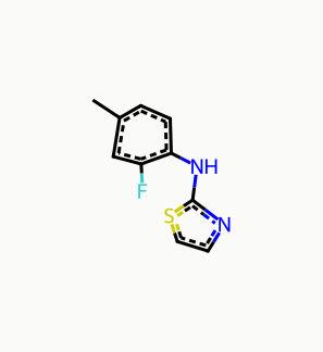 Cc1ccc(Nc2nccs2)c(F)c1